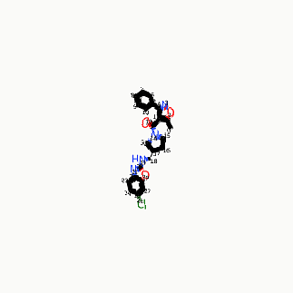 Cc1onc(-c2ccccc2)c1C(=O)N1CC[C@H](CNc2nc3ccc(Cl)cc3o2)C1